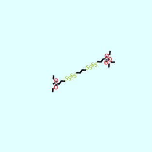 CCO[Si](C)(CCCSSSSCCCCSSSSCCC[Si](OCC)(OCC)OCC)OCC